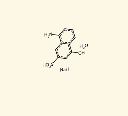 Nc1cccc2c(O)cc(S(=O)(=O)O)cc12.O.[NaH]